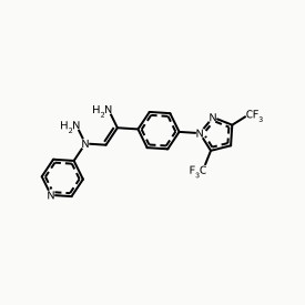 N/C(=C\N(N)c1ccncc1)c1ccc(-n2nc(C(F)(F)F)cc2C(F)(F)F)cc1